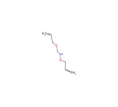 C=CCOCNOCC=C